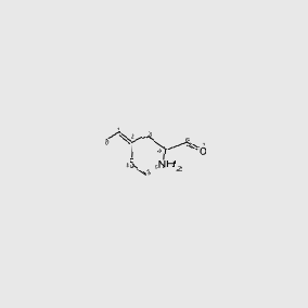 C/C=C(/CC(N)C=O)SC